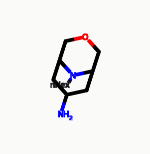 CCCCCCN1C2COCC1CC(N)C2